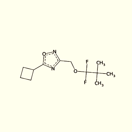 CC(C)(C)C(F)(F)OCc1noc(C2CCC2)n1